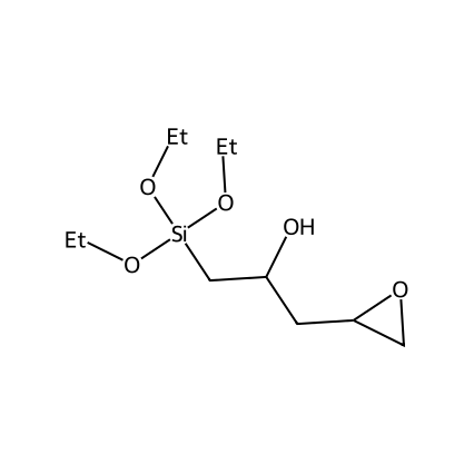 CCO[Si](CC(O)CC1CO1)(OCC)OCC